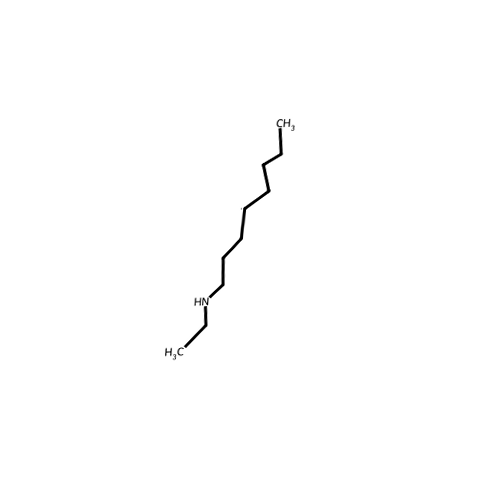 CCCC[CH]CCCNCC